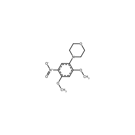 COc1cc(OC)c([N+](=O)[O-])cc1N1CCOCC1